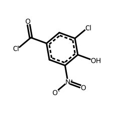 O=C(Cl)c1cc(Cl)c(O)c([N+](=O)[O-])c1